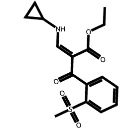 CCOC(=O)C(=CNC1CC1)C(=O)c1ccccc1S(C)(=O)=O